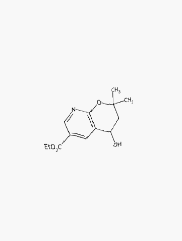 CCOC(=O)c1cnc2c(c1)C(O)CC(C)(C)O2